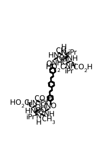 CC(C)[C@H](NC(=O)[C@H](CCC(=O)O)NC(=O)[C@@H](NC(=O)[C@H](C)NC(=O)CNC(=O)c1ccc(/C=C/c2ccc(/C=C/c3ccc(C(=O)NCC(=O)N[C@@H](C)C(=O)N[C@H](C(=O)N[C@@H](CCC(=O)O)C(=O)N[C@H](C(=O)O)C(C)C)C(C)C)cc3)cc2)cc1)C(C)C)C(=O)O